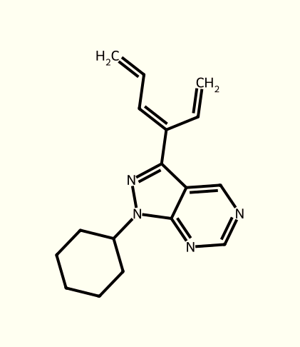 C=C/C=C(\C=C)c1nn(C2CCCCC2)c2ncncc12